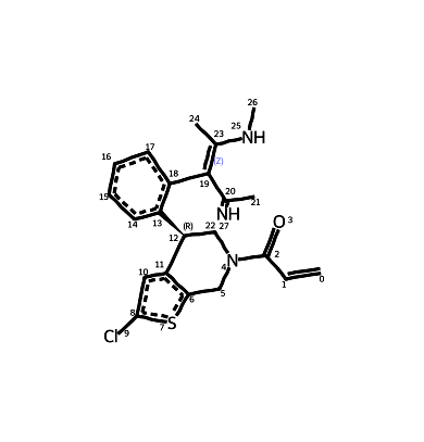 C=CC(=O)N1Cc2sc(Cl)cc2[C@@H](c2ccccc2/C(C(C)=N)=C(\C)NC)C1